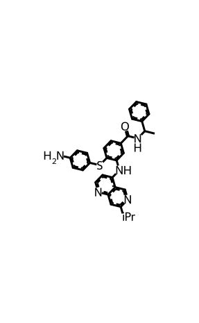 CC(C)c1cc2nccc(Nc3cc(C(=O)NC(C)c4ccccc4)ccc3Sc3ccc(N)cc3)c2cn1